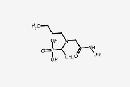 CCCCN(CC(=O)NO)C(C)P(=O)(O)O